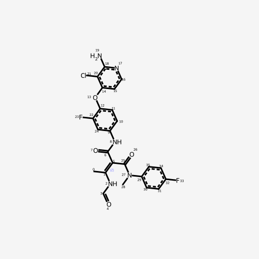 C/C(NC=O)=C(\C(=O)Nc1ccc(Oc2ccnc(N)c2Cl)c(F)c1)C(=O)N(C)c1ccc(F)cc1